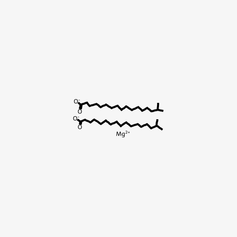 CC(C)CCCCCCCCCCCCCCC(=O)[O-].CC(C)CCCCCCCCCCCCCCC(=O)[O-].[Mg+2]